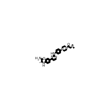 C[C@@H](Nc1ccc(-c2ccnc(Nc3ccc(N4CCN(C(=O)CN(C)C)CC4)cc3)n2)cc1)C(N)=O